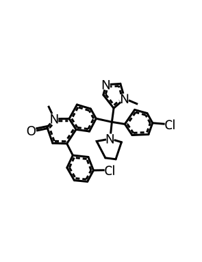 Cn1cncc1C(c1ccc(Cl)cc1)(c1ccc2c(c1)c(-c1cccc(Cl)c1)cc(=O)n2C)N1CCCC1